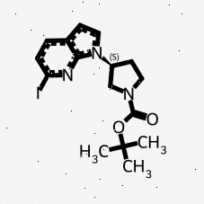 CC(C)(C)OC(=O)N1CC[C@H](n2ccc3ccc(I)nc32)C1